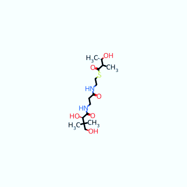 CC(C(=O)SCCNC(=O)CCNC(=O)[C@H](O)C(C)(C)CO)[C@H](C)O